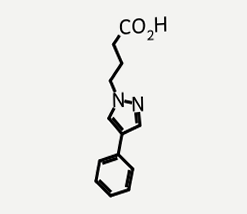 O=C(O)CCCn1cc(-c2ccccc2)cn1